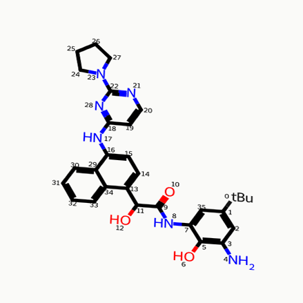 CC(C)(C)c1cc(N)c(O)c(NC(=O)C(O)c2ccc(Nc3ccnc(N4CCCC4)n3)c3ccccc23)c1